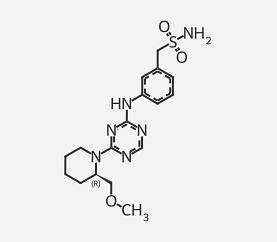 COC[C@H]1CCCCN1c1ncnc(Nc2cccc(CS(N)(=O)=O)c2)n1